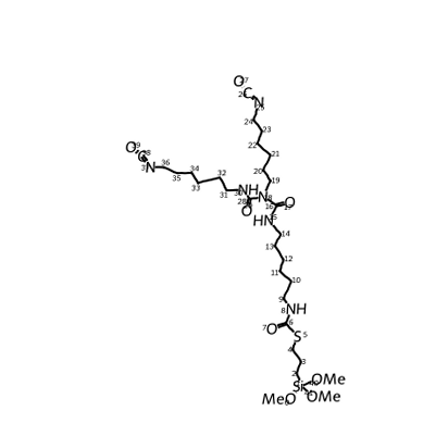 CO[Si](CCCSC(=O)NCCCCCCNC(=O)N(CCCCCCN=C=O)C(=O)NCCCCCCN=C=O)(OC)OC